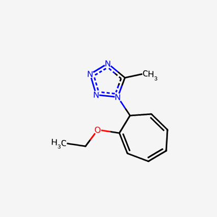 CCOC1=CC=CC=CC1n1nnnc1C